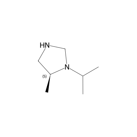 CC(C)N1CNC[C@@H]1C